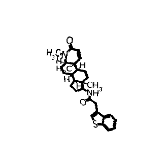 CN1C(=O)C=C[C@]2(C)[C@H]3CC[C@]4(C)C(NC(=O)Cc5csc6ccccc56)CC[C@H]4[C@@H]3CC[C@@H]12